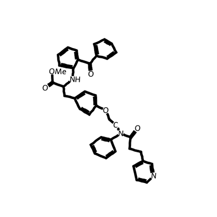 COC(=O)C(Cc1ccc(OCCN(C(=O)CCc2cccnc2)c2ccccc2)cc1)Nc1ccccc1C(=O)c1ccccc1